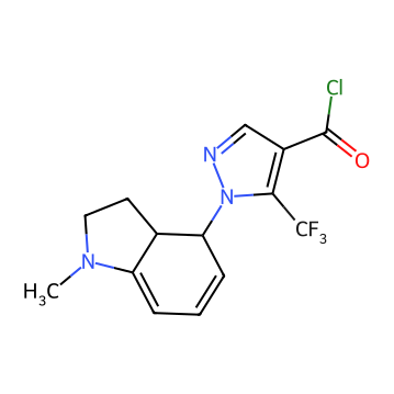 CN1CCC2C1=CC=CC2n1ncc(C(=O)Cl)c1C(F)(F)F